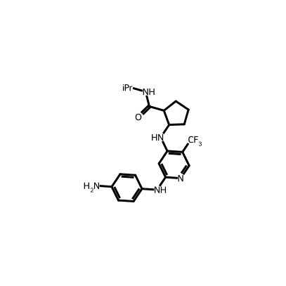 CC(C)NC(=O)C1CCCC1Nc1cc(Nc2ccc(N)cc2)ncc1C(F)(F)F